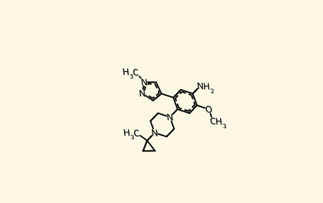 COc1cc(N2CCN(C3(C)CC3)CC2)c(-c2cnn(C)c2)cc1N